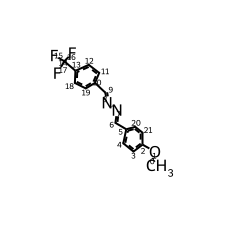 COc1ccc(C=NN=Cc2ccc(C(F)(F)F)cc2)cc1